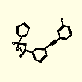 CS(=O)(=NC(=O)c1cncc(C#Cc2cccc(F)c2)c1)c1ccccc1